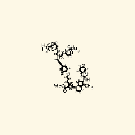 COC(=O)c1nc(N2CCCc3c2nnc(Nc2nc4ccccc4s2)c3C)sc1CCCOc1ccc(C#CCN(CC[C@H]2CCOC(C)(C)O2)CC[C@H]2CCOC(C)(C)O2)cc1F